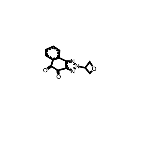 O=C1C(=O)c2nn(C3COC3)nc2-c2ccccc21